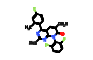 CSc1nc(-c2ccc(F)cc2C)c2cc(C(=O)O)c(=O)n(-c3c(F)cccc3F)c2n1